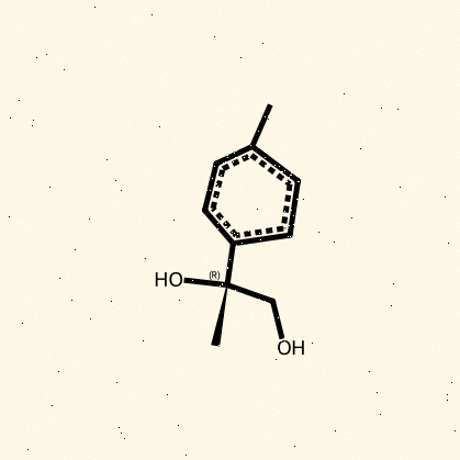 Cc1ccc([C@@](C)(O)CO)cc1